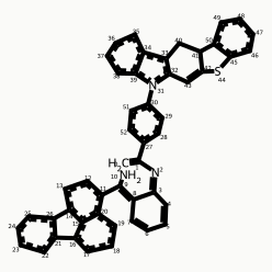 C=C(/N=C1/C=CC=C/C1=C(/N)c1ccc2c3c(cccc13)-c1ccccc1-2)c1ccc(-n2c3c(c4ccccc42)CC2C(=C3)Sc3ccccc32)cc1